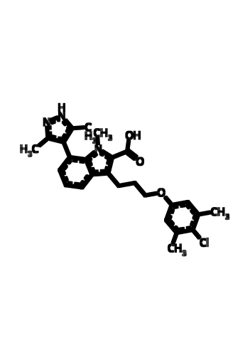 Cc1cc(OCCCc2c(C(=O)O)n(C)c3c(-c4c(C)n[nH]c4C)cccc23)cc(C)c1Cl